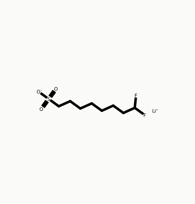 O=S(=O)([O-])CCCCCCCC(F)F.[Li+]